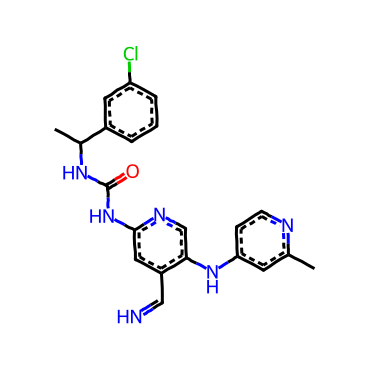 Cc1cc(Nc2cnc(NC(=O)NC(C)c3cccc(Cl)c3)cc2C=N)ccn1